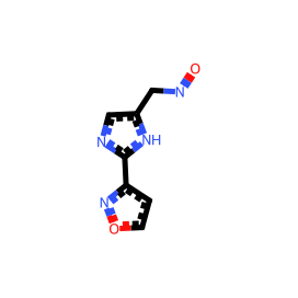 O=NCc1cnc(-c2ccon2)[nH]1